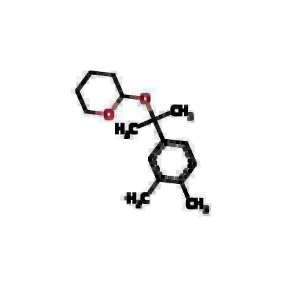 [CH2]c1cc(C(C)(C)OC2CCCCO2)ccc1C